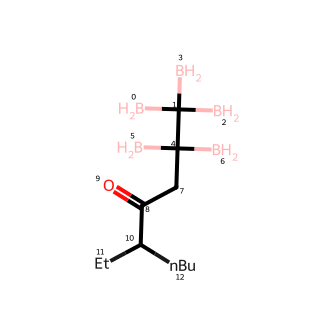 BC(B)(B)C(B)(B)CC(=O)C(CC)CCCC